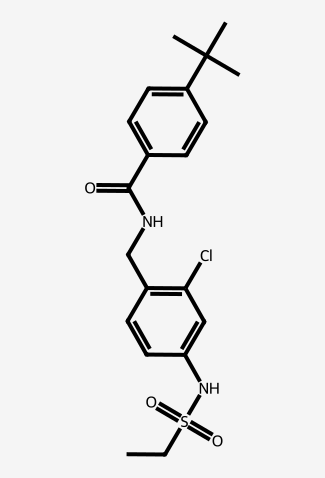 CCS(=O)(=O)Nc1ccc(CNC(=O)c2ccc(C(C)(C)C)cc2)c(Cl)c1